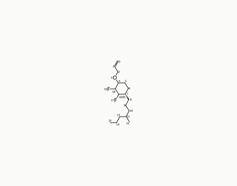 C=CCOC1CC[C@@H](CCCC(C)CCC)C(F)C1F